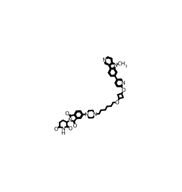 Cn1c2ccncc2c2ccc(-c3ccc(OC4CC(OCCCCCCN5CCN(c6ccc7c(c6)C(=O)N(C6CCC(=O)NC6=O)C7=O)CC5)C4)nc3)cc21